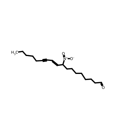 CCCCCC#CC=CC(CCCCCCCC=O)[N+](=O)[O-]